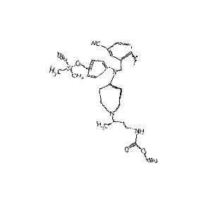 C[C@H](CCNC(=O)OC(C)(C)C)N1CCC(N(Cc2cc(C#N)ccc2F)c2ccc(O[Si](C)(C)C(C)(C)C)cc2)CC1